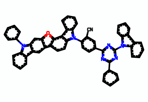 N#Cc1cc(-c2nc(-c3ccccc3)nc(-n3c4ccccc4c4ccccc43)n2)ccc1-n1c2ccccc2c2c3oc4cc5c(cc4c3ccc21)c1ccccc1n5-c1ccccc1